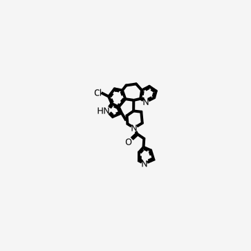 Cc1c[nH]c2c(Cl)cc3c(c12)C(C1CCN(C(=O)Cc2ccncc2)CC1)c1ncccc1CC3